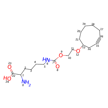 NC(CCCCNC(=O)OCCOC1CC#CCCCCC1)C(=O)O